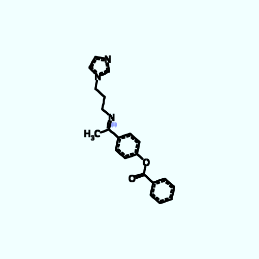 C/C(=N\CCCn1ccnc1)c1ccc(OC(=O)c2ccccc2)cc1